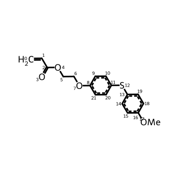 C=CC(=O)OCCOc1ccc(Sc2ccc(OC)cc2)cc1